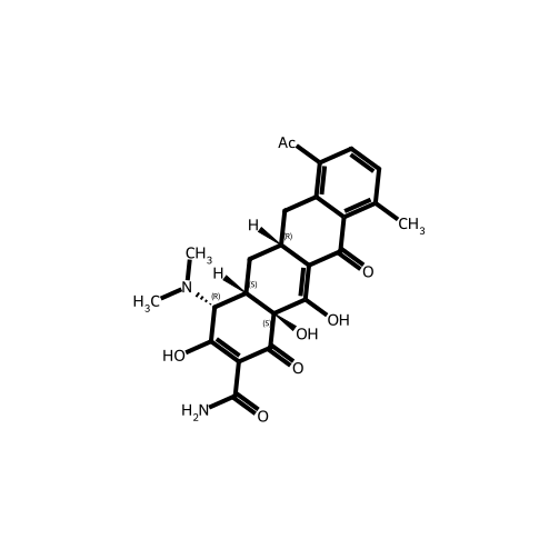 CC(=O)c1ccc(C)c2c1C[C@H]1C[C@H]3[C@@H](N(C)C)C(O)=C(C(N)=O)C(=O)[C@@]3(O)C(O)=C1C2=O